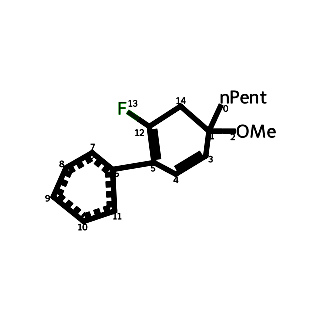 CCCCCC1(OC)C=CC(c2ccccc2)=C(F)C1